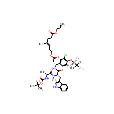 C=CCOC(=O)CC/C(C)=C/CCOC(=O)C[C@@H](NC(=O)[C@@H](Cc1c[nH]c2ccccc12)N(C)C(=O)[C@H](C)NC(=O)OC(C)(C)C)c1ccc(O[Si](C)(C)C(C)(C)C)c(Cl)c1